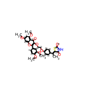 COc1cc(OC)c2c(=O)c(OCCOc3ccc(C(C)=C4SC(=O)NC4=O)cc3)c(-c3ccc(OC)c(OC)c3)oc2c1